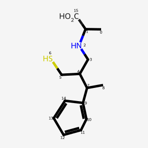 CC(NCC(CS)C(C)c1ccccc1)C(=O)O